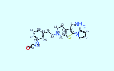 NCc1c(-n2cccc2)sc2c1CCN(CCc1cccc(N=C=O)c1)C2